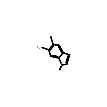 Cc1cc2ccn(C)c2cc1C(F)(F)F